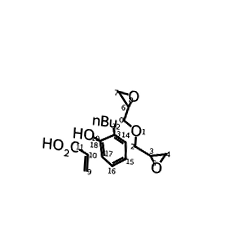 C(OCC1CO1)C1CO1.C=CC(=O)O.CCCCc1ccccc1O